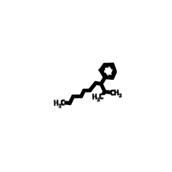 CCCCCCCC(c1[c]cccc1)C(C)C